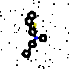 c1ccc(-c2ccc(N(c3ccccc3)c3ccc4c(c3)sc3c5ccccc5ccc43)cc2)cc1